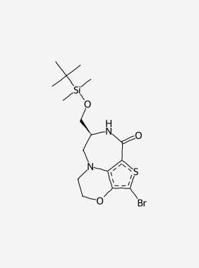 CC(C)(C)[Si](C)(C)OC[C@@H]1CN2CCOc3c(Br)sc(c32)C(=O)N1